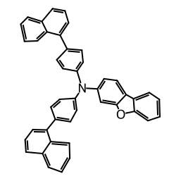 c1ccc2c(-c3ccc(N(c4ccc(-c5cccc6ccccc56)cc4)c4ccc5c(c4)oc4ccccc45)cc3)cccc2c1